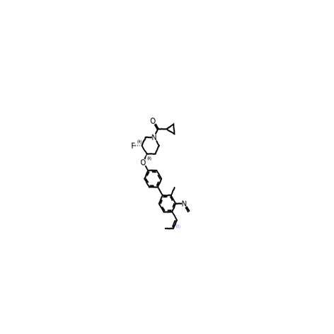 C=Nc1c(/C=C\C)ccc(-c2ccc(O[C@@H]3CCN(C(=O)C4CC4)C[C@H]3F)cc2)c1C